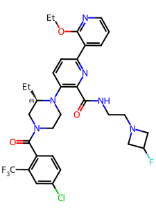 CCOc1ncccc1-c1ccc(N2CCN(C(=O)c3ccc(Cl)cc3C(F)(F)F)C[C@H]2CC)c(C(=O)NCCN2CC(F)C2)n1